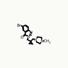 CN1CCN(CC2(Cn3nnc4ccc(Br)cc4c3=O)CC2)CC1